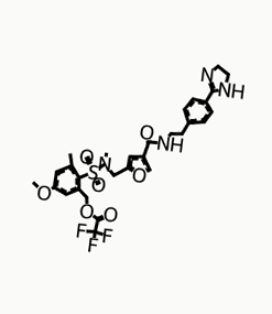 COc1cc(C)c(S(=O)(=O)N(C)Cc2cc(C(=O)NCCc3ccc(C4=NCCN4)cc3)co2)c(COC(=O)C(F)(F)F)c1